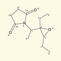 CCC1OC1(CC)C(C)N1C(=O)CCC1=O